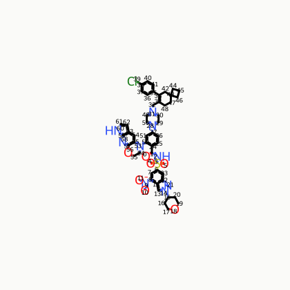 O=C(NS(=O)(=O)c1cc([N+](=O)[O-])c2cn(C3CCOCC3)nc2c1)c1ccc(N2CCN(CC3=C(c4ccc(Cl)cc4)CC4(CCC4)CC3)CC2)cc1N1CCOc2nc3[nH]ccc3cc21